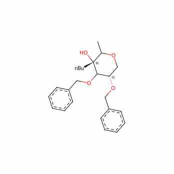 CCCC[C@@]1(O)C(C)OC[C@H](OCc2ccccc2)C1OCc1ccccc1